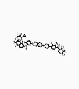 Cn1nc(C2CCC(=O)NC2=O)c2ccc(C3CCN(C4CCC5(CC4)CCN(c4ncc(Cl)c(Nc6ccc7c(c6)c6c(c(=O)n7C)OCC(F)(F)[C@H](C7CC7)N6)n4)CC5)CC3)c(F)c21